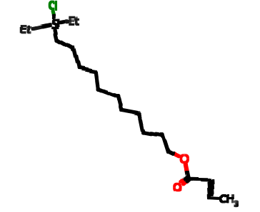 CC=CC(=O)OCCCCCCCCCCC[Si](Cl)(CC)CC